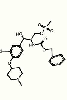 CN1CCC(Oc2ccc([C@@H](O)[C@@H](COS(C)(=O)=O)NC(=O)OCc3ccccc3)cc2Cl)CC1